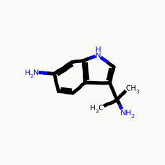 CC(C)(N)c1c[nH]c2cc(N)ccc12